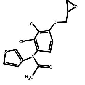 CC(=O)N(c1ccsc1)c1ccc(OCC2CO2)c(Cl)c1Cl